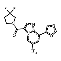 O=C(c1cnc2c(-c3cnco3)cc(C(F)(F)F)cn12)N1CCC(F)(F)C1